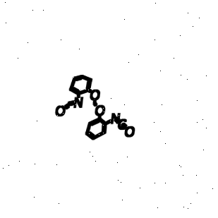 O=C=Nc1ccccc1OCOc1ccccc1N=C=O